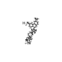 Cc1ncc(S(=O)(=O)N2CCCN(c3nc(C(Cc4ccc(N(C)C)cc4)c4ccc(N)cc4)ns3)CC2)n1C